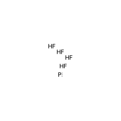 F.F.F.F.[P]